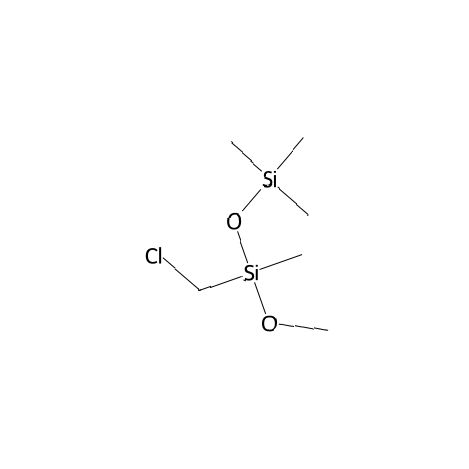 CO[Si](C)(CCl)O[Si](C)(C)C